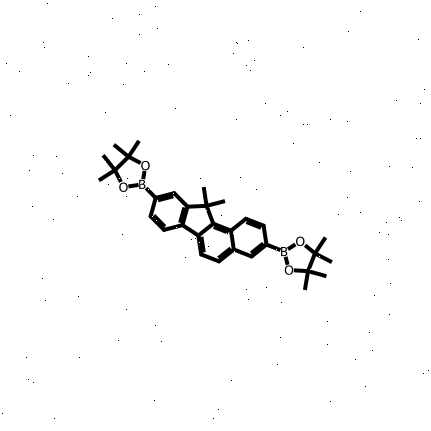 CC1(C)c2cc(B3OC(C)(C)C(C)(C)O3)ccc2-c2ccc3cc(B4OC(C)(C)C(C)(C)O4)ccc3c21